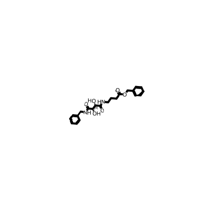 O=C(CCCNC(=O)[C@H](O)[C@@H](O)C(=O)NCc1ccccc1)OCc1ccccc1